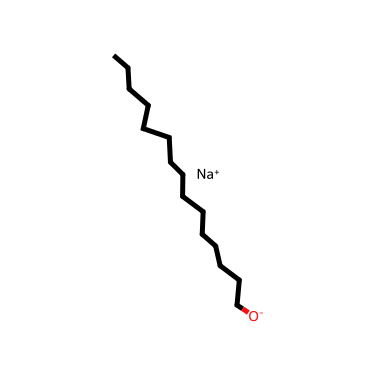 CCCCCCCCCCCCCCC[O-].[Na+]